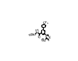 CC(C)(C)NC(=O)c1cc(-c2ccc(C(F)(F)F)cc2)cc(-n2cnnc2C(C)(C)C)c1